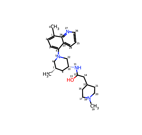 Cc1ccc(N2C[C@@H](C)C[C@@H](NC(O)CC3CCN(C)CC3)C2)c2cccnc12